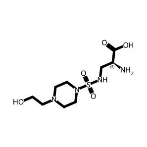 N[C@@H](CNS(=O)(=O)N1CCN(CCO)CC1)C(=O)O